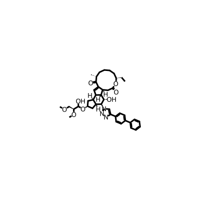 CC[C@H]1CCCC[C@@H](C)C(=O)C2=CC3[C@@H]([C@H](O)[C@@H](n4cc(-c5ccc(-c6ccccc6)cc5)nn4)[C@@H]4C[C@@H](OC(O)[C@H](COC)OC)C[C@@H]34)[C@@H]2CC(=O)O1